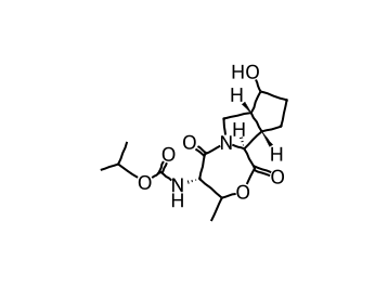 CC(C)OC(=O)N[C@@H]1C(=O)N2C[C@@H]3C(O)CC[C@@H]3[C@H]2C(=O)OC1C